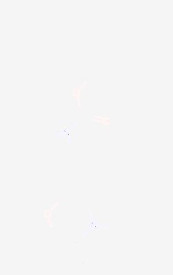 CN1C(=S)COc2cc(NC(=O)OCc3ccccc3)cc(F)c21